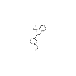 O=CN1CCCC(CCc2ccccc2C(F)(F)F)C1